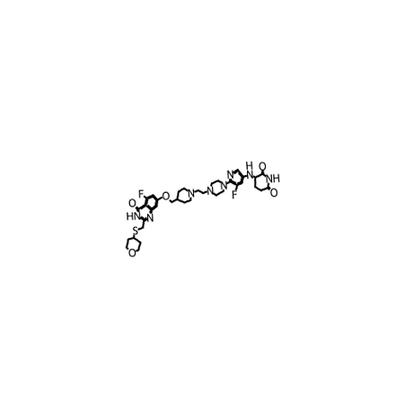 O=C1CCC(Nc2cnc(N3CCN(CCN4CCC(COc5cc(F)c6c(=O)[nH]c(CSC7CCOCC7)nc6c5)CC4)CC3)c(F)c2)C(=O)N1